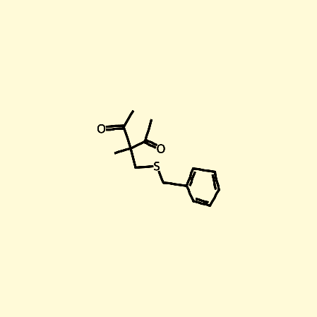 CC(=O)C(C)(CSCc1ccccc1)C(C)=O